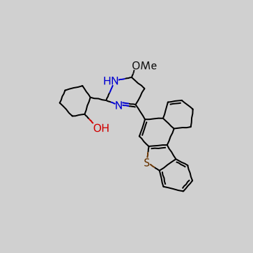 COC1CC(C2=Cc3sc4ccccc4c3C3CCC=CC23)=NC(C2CCCCC2O)N1